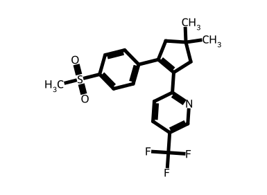 CC1(C)CC(c2ccc(S(C)(=O)=O)cc2)=C(c2ccc(C(F)(F)F)cn2)C1